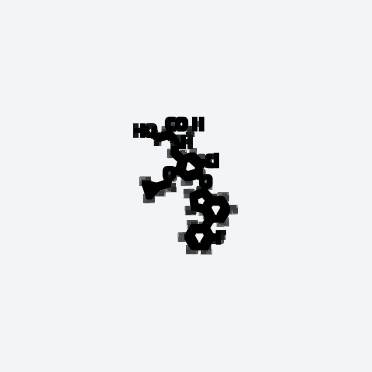 O=C(O)[C@H](CO)NCc1cc(Cl)c(O[C@H]2CCc3c(-c4ccccc4F)cccc32)cc1OCC1CC1